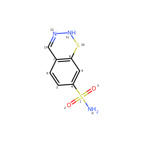 NS(=O)(=O)c1ccc2c(c1)SNN=C2